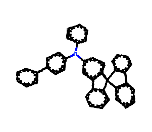 c1ccc(-c2ccc(N(c3ccccc3)c3ccc4c(c3)-c3ccccc3C43c4ccccc4-c4ccccc43)cc2)cc1